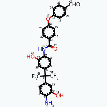 Nc1ccc(C(c2ccc(NC(=O)c3ccc(Oc4ccc(C=O)cc4)cc3)c(O)c2)(C(F)(F)F)C(F)(F)F)cc1O